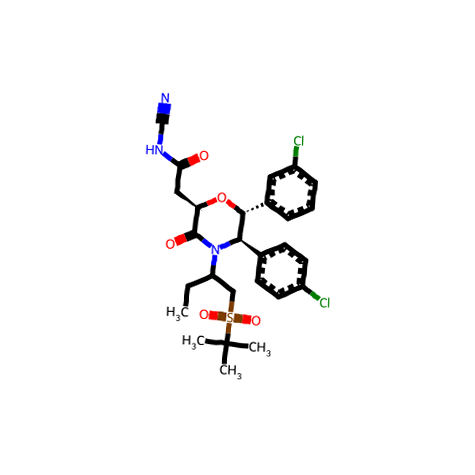 CCC(CS(=O)(=O)C(C)(C)C)N1C(=O)[C@@H](CC(=O)NC#N)O[C@H](c2cccc(Cl)c2)[C@H]1c1ccc(Cl)cc1